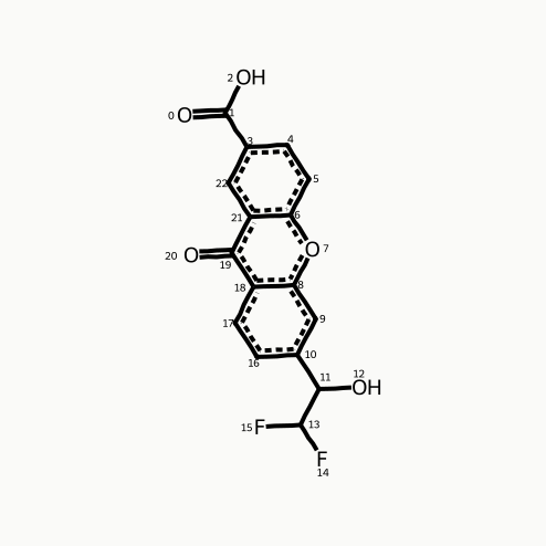 O=C(O)c1ccc2oc3cc(C(O)C(F)F)ccc3c(=O)c2c1